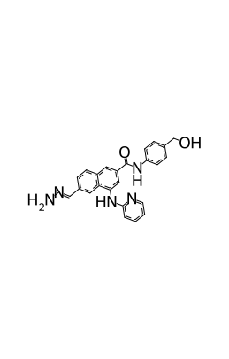 NN=Cc1ccc2cc(C(=O)Nc3ccc(CO)cc3)cc(Nc3ccccn3)c2c1